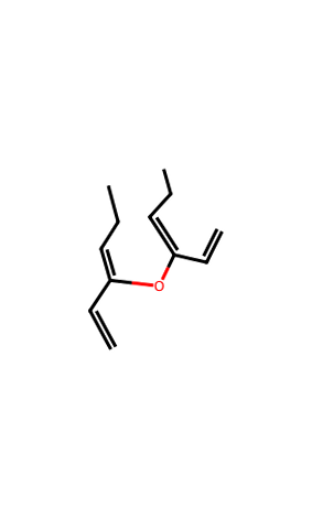 C=CC(=CCC)OC(C=C)=CCC